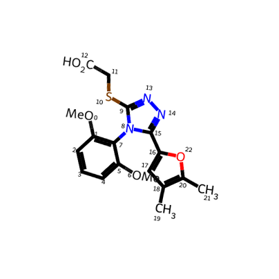 COc1cccc(OC)c1-n1c(SCC(=O)O)nnc1-c1cc(C)c(C)o1